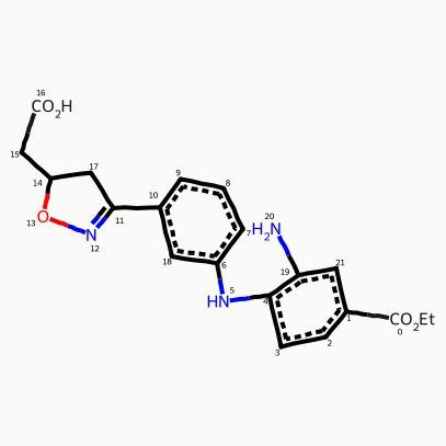 CCOC(=O)c1ccc(Nc2cccc(C3=NOC(CC(=O)O)C3)c2)c(N)c1